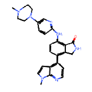 CN1CCN(c2ccc(Nc3ccc(-c4ccnc5c4ccn5C)c4c3C(=O)NC4)nc2)CC1